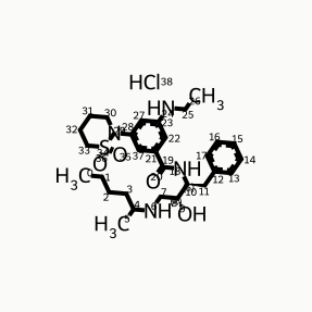 CCCCC(C)NC[C@@H](O)[C@H](Cc1ccccc1)NC(=O)c1cc(NCC)cc(N2CCCCS2(=O)=O)c1.Cl